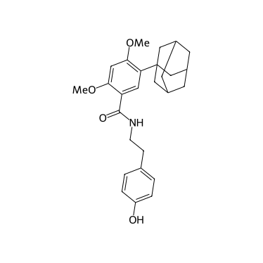 COc1cc(OC)c(C23CC4CC(CC(C4)C2)C3)cc1C(=O)NCCc1ccc(O)cc1